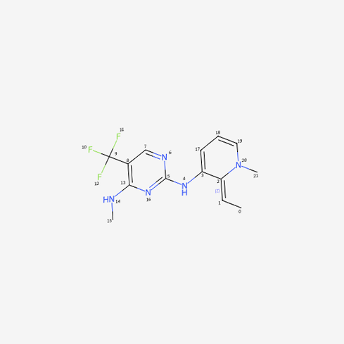 C/C=C1/C(Nc2ncc(C(F)(F)F)c(NC)n2)=CC=CN1C